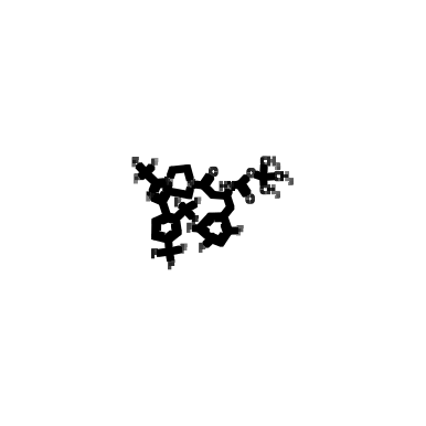 CC(C)(C)OC(=O)NC(CC(=O)N1CCn2c(C(F)(F)F)nc(-c3ccc(C(F)(F)F)cc3C(F)(F)F)c2C1)Cc1cc(F)c(F)cc1F